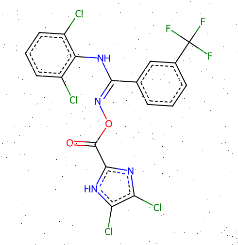 O=C(ON=C(Nc1c(Cl)cccc1Cl)c1cccc(C(F)(F)F)c1)c1nc(Cl)c(Cl)[nH]1